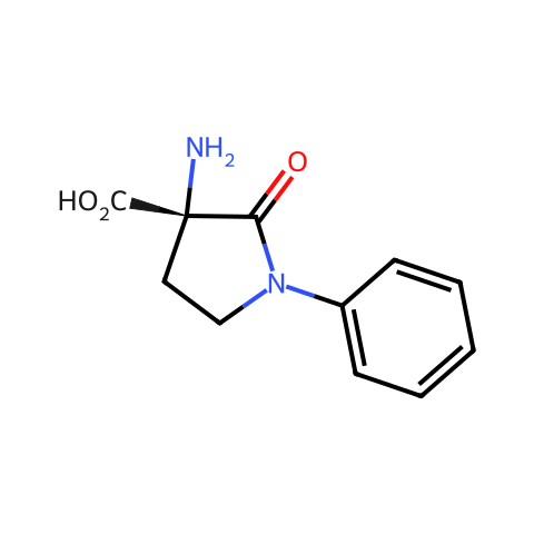 N[C@@]1(C(=O)O)CCN(c2ccccc2)C1=O